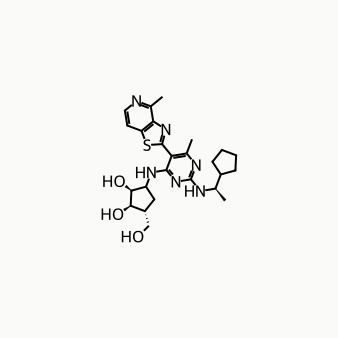 Cc1nc(N[C@H](C)C2CCCC2)nc(NC2C[C@H](CO)[C@@H](O)[C@H]2O)c1-c1nc2c(C)nccc2s1